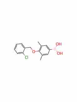 Cc1cc(B(O)O)cc(C)c1OCc1ccccc1Cl